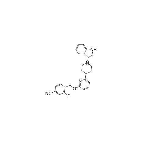 N#Cc1ccc(COc2cccc(C3CCN(C4CNc5ccccc54)CC3)n2)c(F)c1